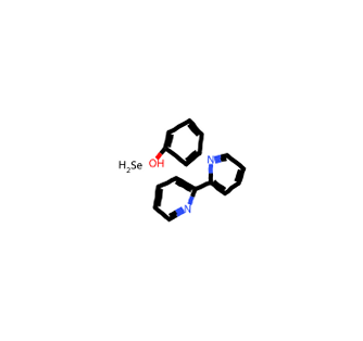 Oc1ccccc1.[SeH2].c1ccc(-c2ccccn2)nc1